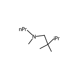 CCCN(C)CC(C)(C)C(C)C